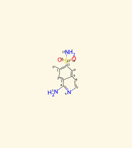 Cc1cc2c(N)nccc2cc1S(N)(=O)=O